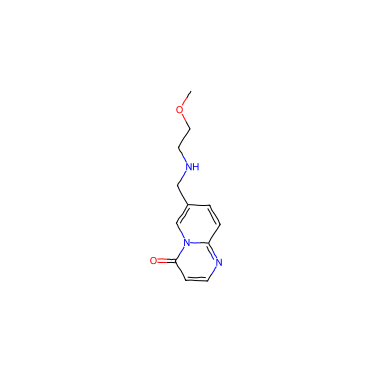 COCCNCc1ccc2nccc(=O)n2c1